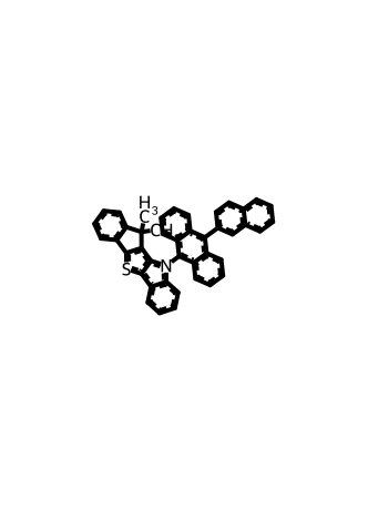 CC1(C)c2ccccc2-c2sc3c4ccccc4n(-c4c5ccccc5c(-c5ccc6ccccc6c5)c5ccccc45)c3c21